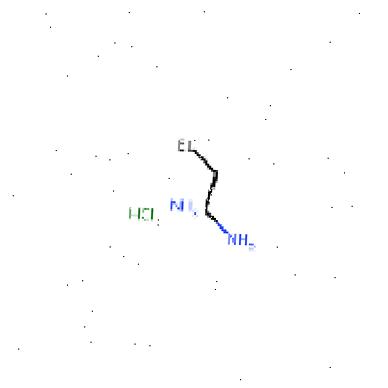 CCCCN.Cl.N